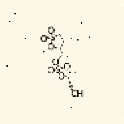 C#CCOS(=O)(=O)OCC1CCS(=O)(=O)O1